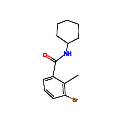 Cc1c(Br)cccc1C(=O)NC1CCCCC1